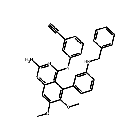 C#Cc1cccc(Nc2nc(N)nc3cc(OC)c(OC)c(-c4cccc(NCc5ccccc5)c4)c23)c1